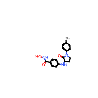 CC(C)c1ccc(N2CCC(Nc3ccc(C(=O)NO)cc3)C2=O)cc1